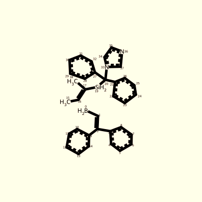 BC=C(c1ccccc1)c1ccccc1.CC=C(C)[SiH2]C(c1ccccc1)(c1ccccc1)n1ccnc1